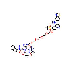 CN[C@@H](C)C(=O)N[C@H](C(=O)N1C[C@@H](NC(=O)COCCOCCOCCOCCOc2cc3nccc(Nc4ccc5scnc5c4)c3cc2S(=O)(=O)C(C)(C)C)C[C@H]1C(=O)N[C@@H]1CCc2ccccc21)C(C)(C)C